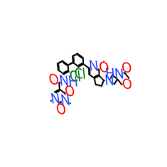 COc1nc(-c2cccc(-c3cccc(NC(=O)c4cn(C)c(=O)n(C)c4=O)c3Cl)c2Cl)cc2c1[C@H](N1CC3(COCC(=O)N3)C1)CC2